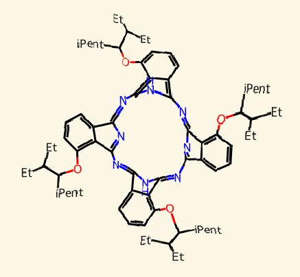 CCCC(C)C(Oc1cccc2c1-c1nc-2nc2[nH]c(nc3nc(nc4[nH]c(n1)c1cccc(OC(C(C)CCC)C(CC)CC)c41)-c1cccc(OC(C(C)CCC)C(CC)CC)c1-3)c1cccc(OC(C(C)CCC)C(CC)CC)c21)C(CC)CC